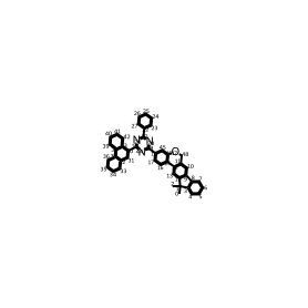 CC1(C)c2ccccc2-c2cc3c(cc21)-c1ccc(-c2nc(-c4ccccc4)nc(-c4cc5ccccc5c5ccccc45)n2)cc1OC3